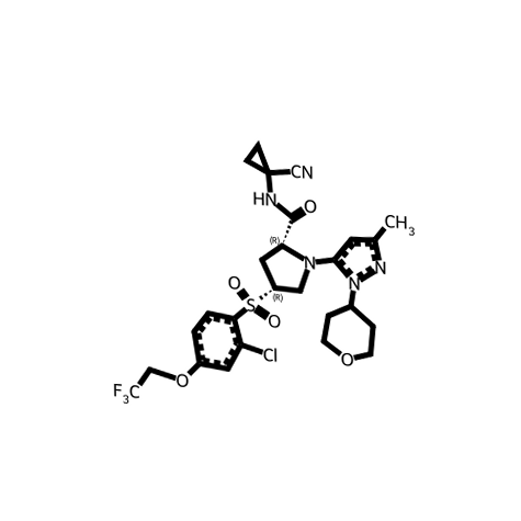 Cc1cc(N2C[C@H](S(=O)(=O)c3ccc(OCC(F)(F)F)cc3Cl)C[C@@H]2C(=O)NC2(C#N)CC2)n(C2CCOCC2)n1